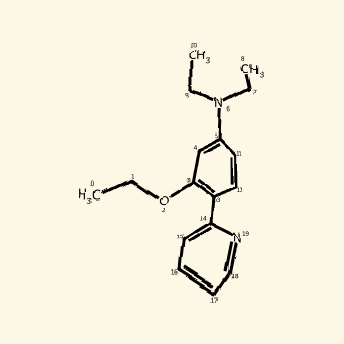 CCOc1cc(N(CC)CC)ccc1-c1ccccn1